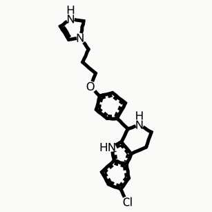 Clc1ccc2[nH]c3c(c2c1)CCNC3c1ccc(OCCCN2C=CNC2)cc1